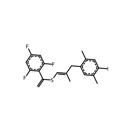 C=C(S/C=C(\C)Cc1cc(C)c(I)cc1C)c1c(F)cc(F)cc1F